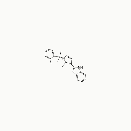 Cc1ccccc1C(C)(C)N1C=CN(c2cc3ccccc3[nH]2)C1C